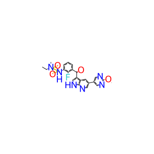 CCN(C)S(=O)(=O)Nc1cccc(C(=O)c2c[nH]c3ncc(-c4cnc(OC)nc4)cc23)c1F